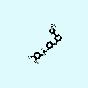 Cn1cnc(-c2cc(Oc3cccc(NC(=O)Nc4ccc([N+](=O)[O-])c(C(F)(F)F)c4)c3)ccn2)c1